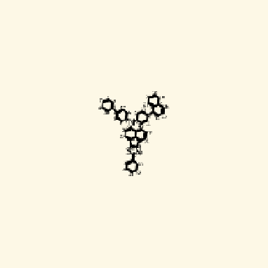 c1ccc(-c2ccc(N(c3ccc(-c4cccc5ccccc45)cc3)c3ccc4c5c(cccc35)-c3nc(-c5ccccc5)sc3-4)cc2)cc1